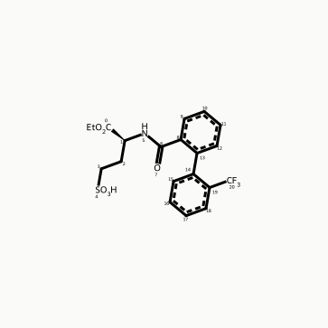 CCOC(=O)[C@H](CCS(=O)(=O)O)NC(=O)c1ccccc1-c1ccccc1C(F)(F)F